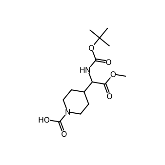 COC(=O)C(NC(=O)OC(C)(C)C)C1CCN(C(=O)O)CC1